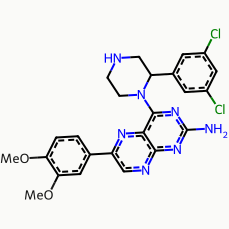 COc1ccc(-c2cnc3nc(N)nc(N4CCNCC4c4cc(Cl)cc(Cl)c4)c3n2)cc1OC